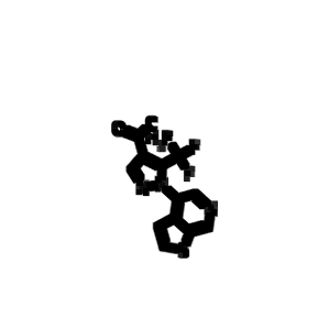 CC(=O)c1cnn(-c2cncc3sccc23)c1C(F)(F)F